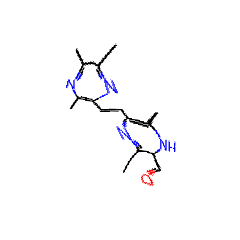 CC1=NC(/C=C/c2nc(C)c(C)nc2C)=C(C)NC1C=O